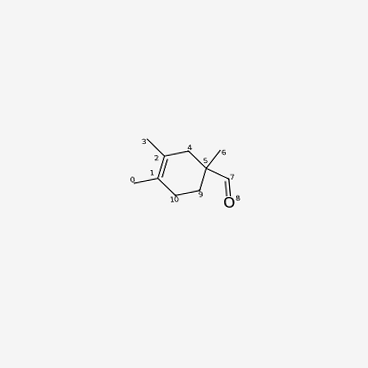 CC1=C(C)CC(C)(C=O)CC1